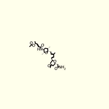 CC(=O)OC(C)C=CC(=O)N[C@@H]1C[C@H](C)[C@H](CC=C(C)C=C[C@@H]2C[C@]3(CO3)C[C@@H](CC(N)=O)O2)O[C@@H]1C